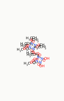 CCOc1ccc(CC2CN(CC(=O)O)CCN(CC(=O)O)CCN(CC(=O)O)CCN2CC(=O)O)cc1.CCOc1ccc(CC2CN(CC(=O)OC(C)(C)C)CCN(CC(=O)OC(C)(C)C)CCN(CC(=O)OC(C)(C)C)CCN2CC(=O)OC(C)(C)C)cc1